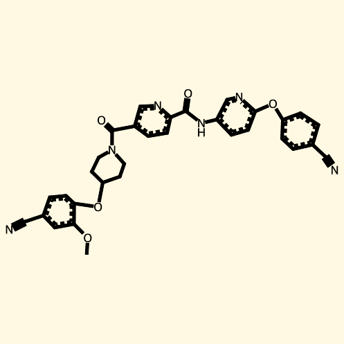 COc1cc(C#N)ccc1OC1CCN(C(=O)c2ccc(C(=O)Nc3ccc(Oc4ccc(C#N)cc4)nc3)nc2)CC1